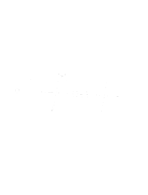 CC(C)(C)C#CC(F)(P)C1COC1